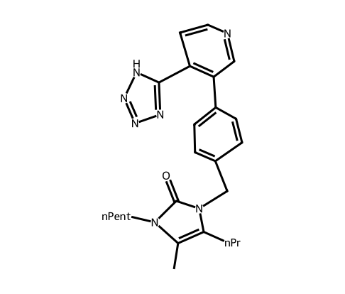 CCCCCn1c(C)c(CCC)n(Cc2ccc(-c3cnccc3-c3nnn[nH]3)cc2)c1=O